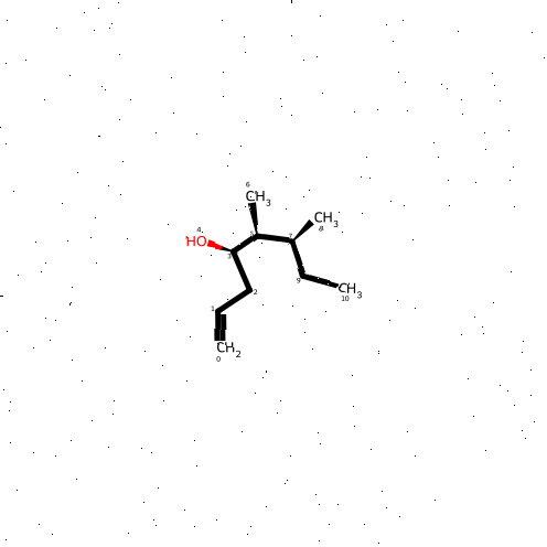 C=CC[C@@H](O)[C@@H](C)[C@@H](C)CC